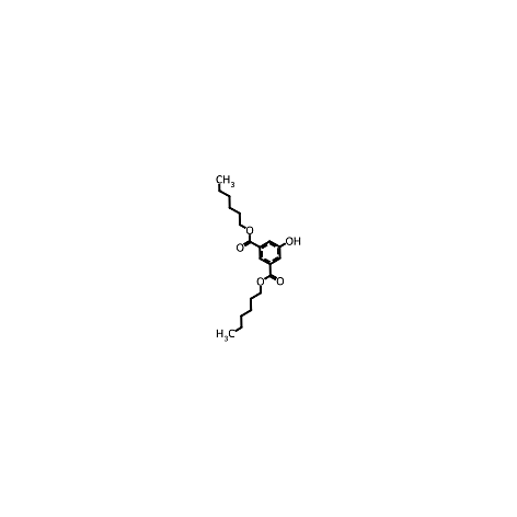 CCCCCCOC(=O)c1cc(O)cc(C(=O)OCCCCCC)c1